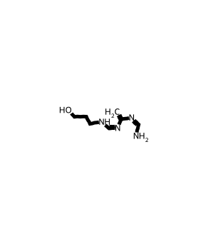 C=C(/N=C\N)/N=C\NCCCO